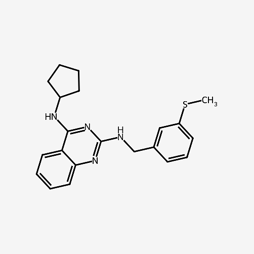 CSc1cccc(CNc2nc(NC3CCCC3)c3ccccc3n2)c1